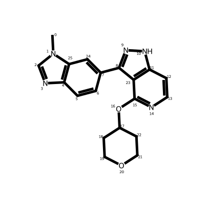 Cn1cnc2ccc(-c3n[nH]c4ccnc(OC5CCOCC5)c34)cc21